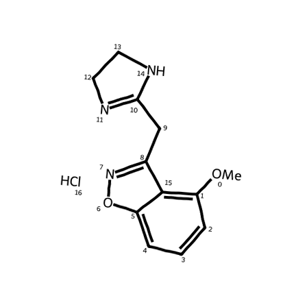 COc1cccc2onc(CC3=NCCN3)c12.Cl